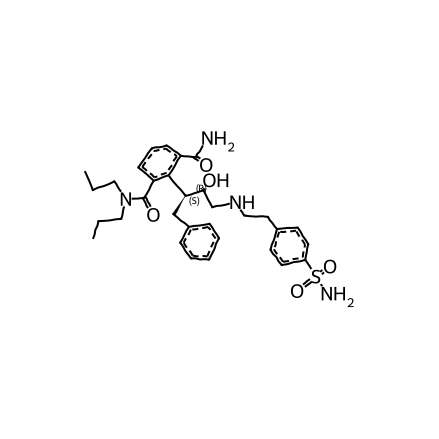 CCCN(CCC)C(=O)c1cccc(C(N)=O)c1[C@H](Cc1ccccc1)[C@@H](O)CNCCc1ccc(S(N)(=O)=O)cc1